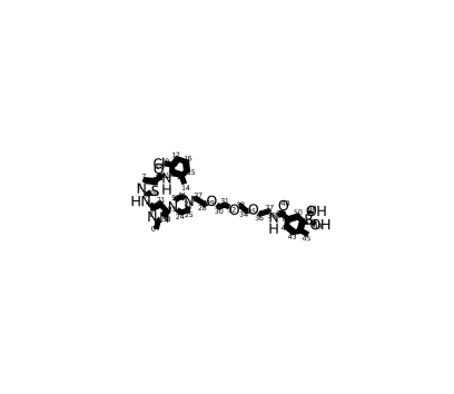 Cc1nc(Nc2ncc(C(=O)Nc3c(C)cccc3Cl)s2)cc(N2CCN(CCOCCOCCOCCNC(=O)c3ccc(C)c(B(O)O)c3)CC2)n1